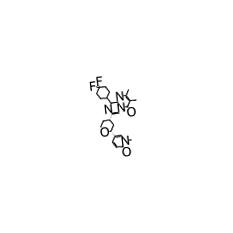 Cc1nc2c(C3CCC(F)(F)CC3)nc([C@H]3CCO[C@@H](c4ccc(=O)n(C)c4)C3)cn2c(=O)c1C